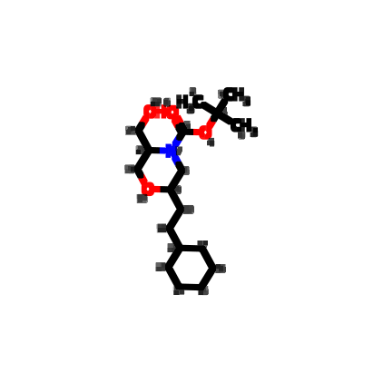 CC(C)(C)OC(=O)N1CC(CCC2CCCCC2)OCC1CO